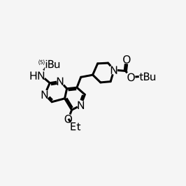 CCOc1ncc(CC2CCN(C(=O)OC(C)(C)C)CC2)c2nc(N[C@@H](C)CC)ncc12